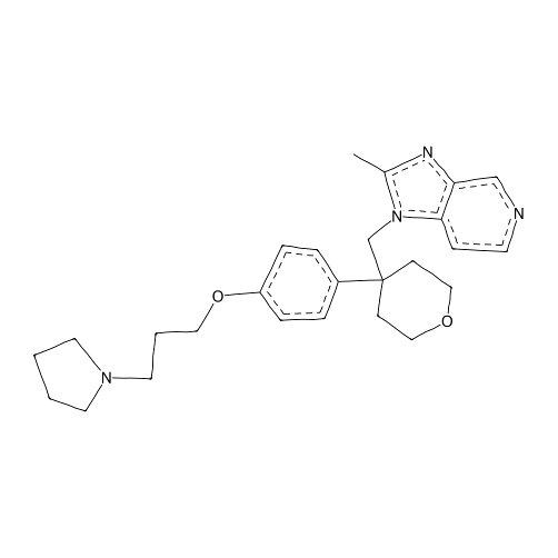 Cc1nc2cnccc2n1CC1(c2ccc(OCCCN3CCCC3)cc2)CCOCC1